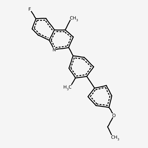 CCOc1ccc(-c2ccc(-c3cc(C)c4cc(F)ccc4n3)cc2C)cc1